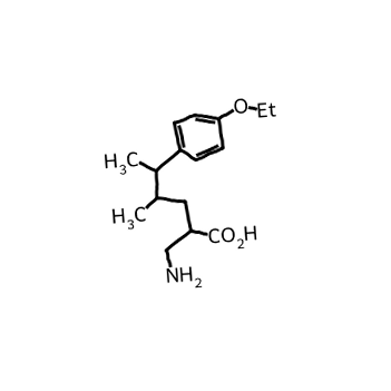 CCOc1ccc(C(C)C(C)CC(CN)C(=O)O)cc1